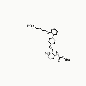 CC(C)(C)OC(=O)N[C@@H]1CCCN[C@@H]1COC1CCC(c2ccccc2OCCCCC(=O)O)CC1